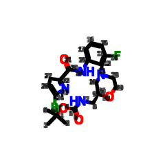 CC(C)(C)OC(=O)NC[C@H]1CN(c2c(F)cccc2NC(=O)C2=NC(Br)=CC2)CCO1